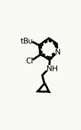 CC(C)(C)c1ccnc(NCC2CC2)c1Cl